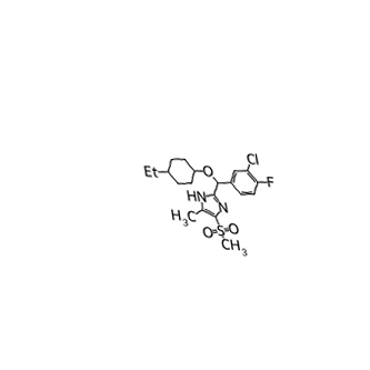 CCC1CCC(OC(c2ccc(F)c(Cl)c2)c2nc(S(C)(=O)=O)c(C)[nH]2)CC1